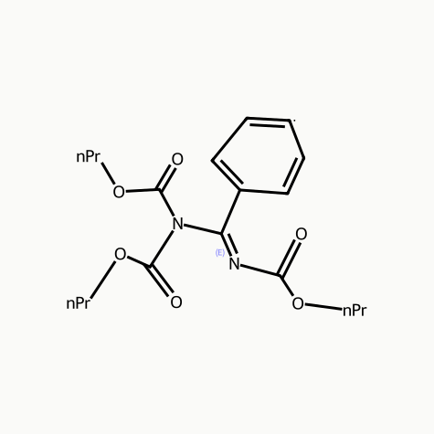 CCCOC(=O)/N=C(\c1cc[c]cc1)N(C(=O)OCCC)C(=O)OCCC